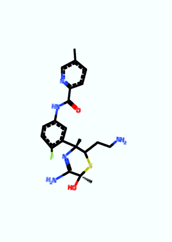 Cc1ccc(C(=O)Nc2ccc(F)c([C@@]3(C)N=C(N)[C@](C)(O)SC3CCN)c2)nc1